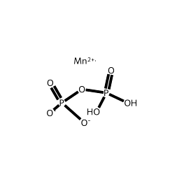 O=P([O-])([O-])OP(=O)(O)O.[Mn+2]